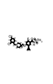 CS(=O)(=O)NC(=O)c1cc(C2CC2)c(OCC2(F)CCN(Cc3ccc(Cl)cc3Cl)CC2)cc1F